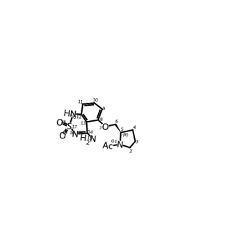 CC(=O)N1CCC[C@@H]1COc1cccc2c1C(N)=NS(=O)(=O)N2